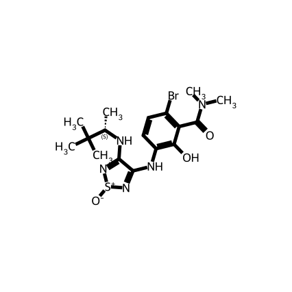 C[C@H](Nc1n[s+]([O-])nc1Nc1ccc(Br)c(C(=O)N(C)C)c1O)C(C)(C)C